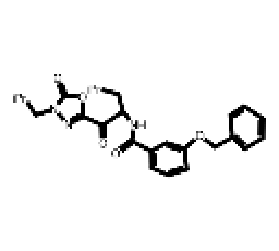 CC(C)CC(NC(=O)c1cccc(OCc2ccccc2)c1)C(=O)c1nn(CC(C)C)c(=O)o1